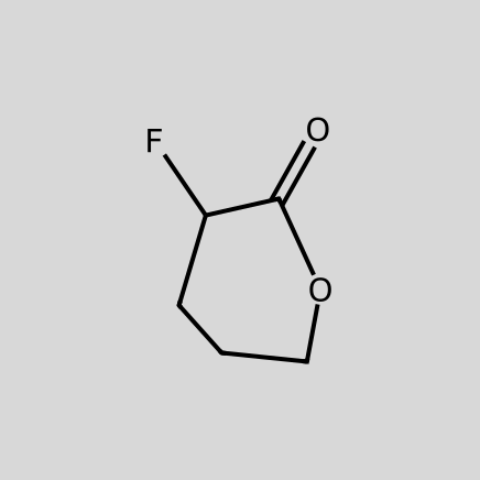 O=C1OCCCC1F